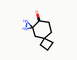 O=C1CCC2(CCC2)CC12NN2